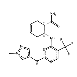 Cn1cc(Nc2ncc(C(F)(F)F)c(N[C@@H]3CC=CC[C@@H]3C(N)=O)n2)cn1